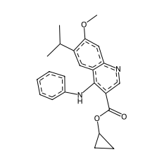 COc1cc2ncc(C(=O)OC3CC3)c(Nc3ccccc3)c2cc1C(C)C